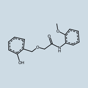 COc1ccccc1NC(=O)COCc1ccccc1O